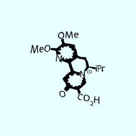 COc1cc2c(nc1OC)-c1cc(=O)c(C(=O)O)cn1[C@H](C(C)C)C2